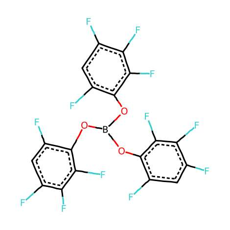 Fc1cc(F)c(OB(Oc2c(F)cc(F)c(F)c2F)Oc2c(F)cc(F)c(F)c2F)c(F)c1F